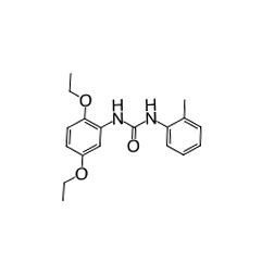 CCOc1ccc(OCC)c(NC(=O)Nc2ccccc2C)c1